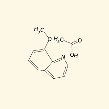 CC(=O)O.COc1cccc2cccnc12